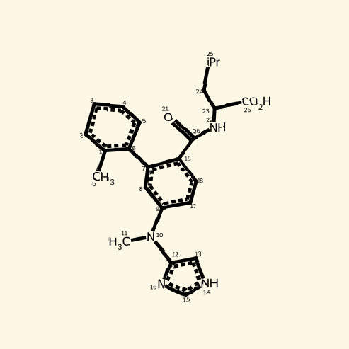 Cc1ccccc1-c1cc(N(C)c2c[nH]cn2)ccc1C(=O)NC(CC(C)C)C(=O)O